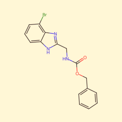 O=C(NCc1nc2c(Br)cccc2[nH]1)OCc1ccccc1